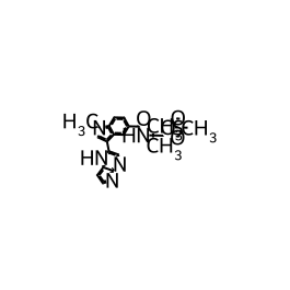 Cn1cc(-c2cnc3nccc-3[nH]2)c2cc(C(=O)NC(C)(C)COS(C)(=O)=O)ccc21